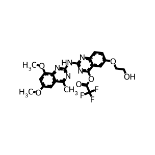 COc1cc(OC)c2nc(Nc3nc(OC(=O)C(F)(F)F)c4cc(OCCO)ccc4n3)nc(C)c2c1